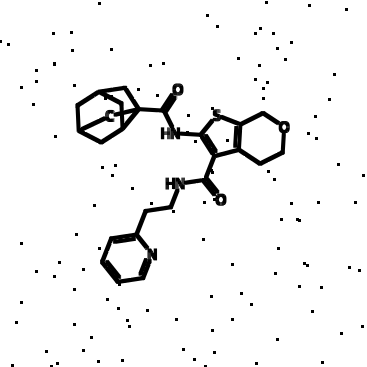 O=C(NCCc1ccccn1)c1c(NC(=O)C23CC4CC(CC2C4)C3)sc2c1CCOC2